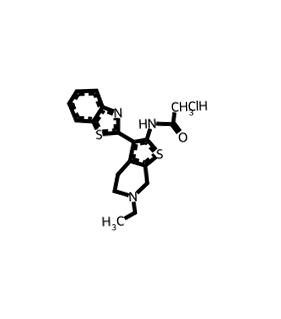 CCN1CCc2c(sc(NC(C)=O)c2-c2nc3ccccc3s2)C1.Cl